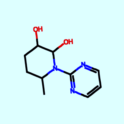 CC1CCC(O)C(O)N1c1ncccn1